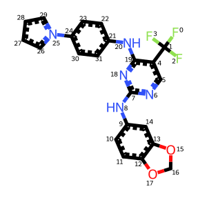 FC(F)(F)c1cnc(Nc2ccc3c(c2)OCO3)nc1Nc1ccc(-n2cccc2)cc1